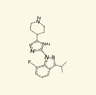 CC(C)c1nn(-c2ncc(C3CCNCC3)[nH]2)c2c(F)cccc12